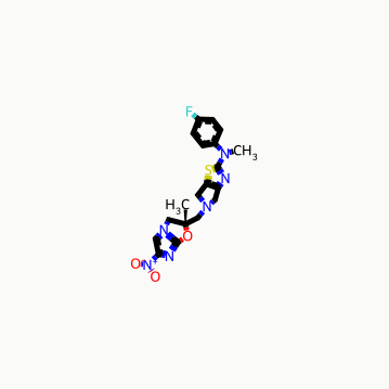 CN(c1ccc(F)cc1)c1nc2c(s1)CN(C[C@@]1(C)Cn3cc([N+](=O)[O-])nc3O1)C2